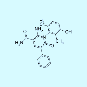 Cc1ccc(O)c(C)c1-n1c(N)c(C(N)=O)cc(-c2ccccc2)c1=O